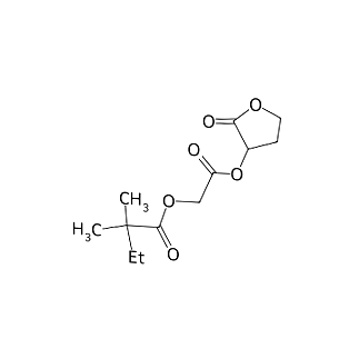 CCC(C)(C)C(=O)OCC(=O)OC1CCOC1=O